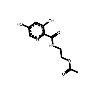 CC(=O)OCCNC(=O)c1ncc(O)cc1O